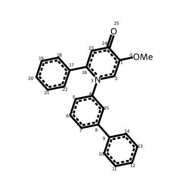 COc1cn(-c2cccc(-c3ccccc3)c2)c(-c2ccccc2)cc1=O